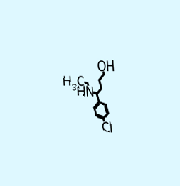 CCNC(CCCO)c1ccc(Cl)cc1